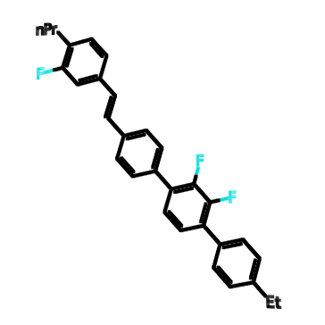 CCCc1ccc(/C=C/c2ccc(-c3ccc(-c4ccc(CC)cc4)c(F)c3F)cc2)cc1F